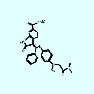 COC(=O)c1ccc2c(c1)NC(=O)/C2=C(/Nc1ccc(N(CC(=O)N(C)C)C(C)=O)cc1)c1ccccc1